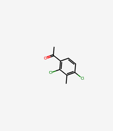 CC(=O)c1ccc(Cl)c(C)c1Cl